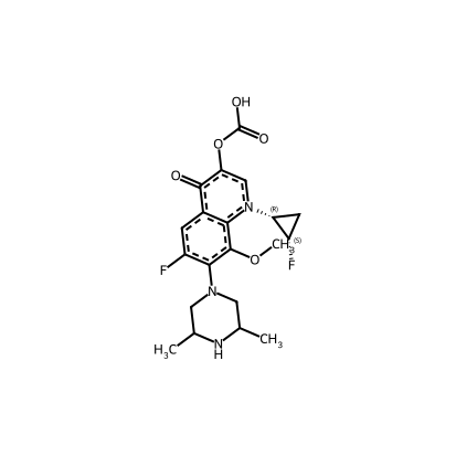 COc1c(N2CC(C)NC(C)C2)c(F)cc2c(=O)c(OC(=O)O)cn([C@@H]3C[C@@H]3F)c12